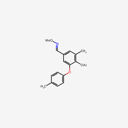 CON=Cc1cc(C)c(OC(C)=O)c(Oc2ccc(C)cc2)c1